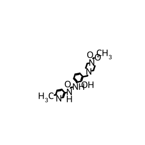 COC(=O)N1CCN(Cc2cccc(NC(=O)Nc3ccc(C)nc3)c2O)CC1